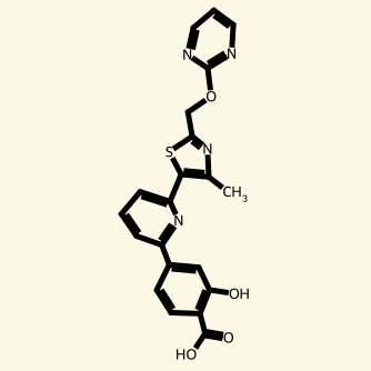 Cc1nc(COc2ncccn2)sc1-c1cccc(-c2ccc(C(=O)O)c(O)c2)n1